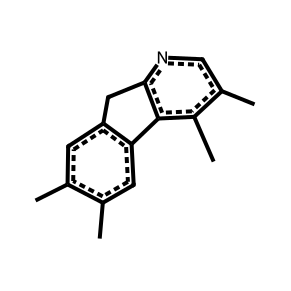 Cc1cc2c(cc1C)-c1c(ncc(C)c1C)C2